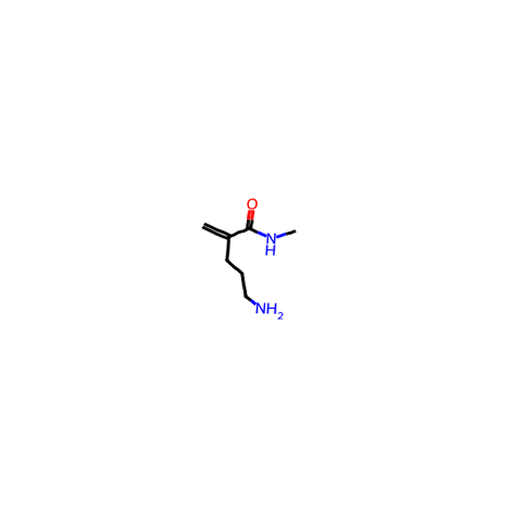 C=C(CCCN)C(=O)NC